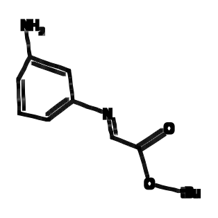 CC(C)(C)OC(=O)/C=N/c1cccc(N)c1